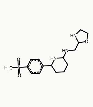 CS(=O)(=O)c1ccc(C2CCCC(NCC3NCCO3)N2)cc1